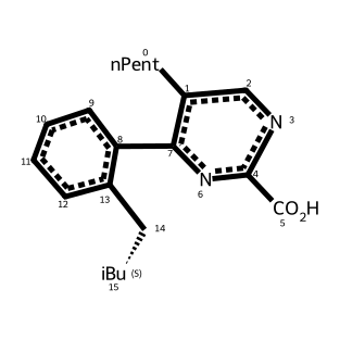 CCCCCc1cnc(C(=O)O)nc1-c1ccccc1C[C@@H](C)CC